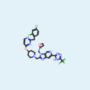 Fc1cc(Cl)ccc1Cc1nccc(OC2CCN(Cc3nc4cc(-c5nnc(C(F)(F)F)[nH]5)ncc4n3C[C@@H]3CCO3)CC2)n1